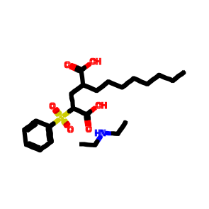 CCCCCCCCC(CC(C(=O)O)S(=O)(=O)c1ccccc1)C(=O)O.CCNCC